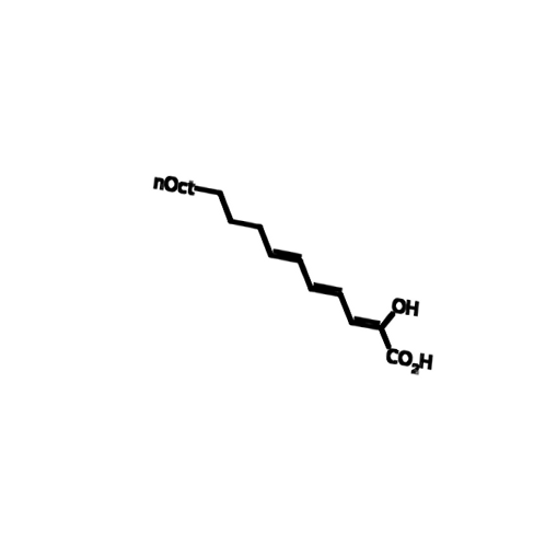 CCCCCCCCCCCC=CC=CC=C(O)C(=O)O